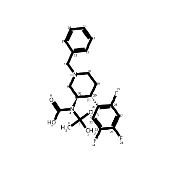 CC(C)(C)N(C(=O)O)[C@H]1CN(Cc2ccccc2)CC[C@@H]1c1cc(F)c(F)cc1F